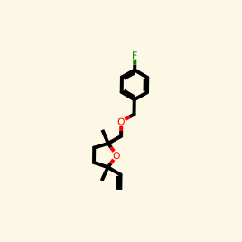 C=CC1(C)CCC(C)(COCc2ccc(F)cc2)O1